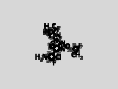 C=C(F)C(O)N1CCN(c2nc(OC[C@@H]3C[C@@H](F)CN3C)nc3cc(-c4cc(N)cc(F)c4Cl)c4ccoc4c23)C[C@@H]1CC#N